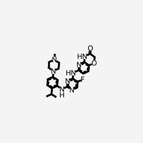 CC(C)c1ccc(N2CCN(C)CC2)cc1Nc1ncc(F)c(Nc2ccc3c(n2)NC(=O)CO3)n1